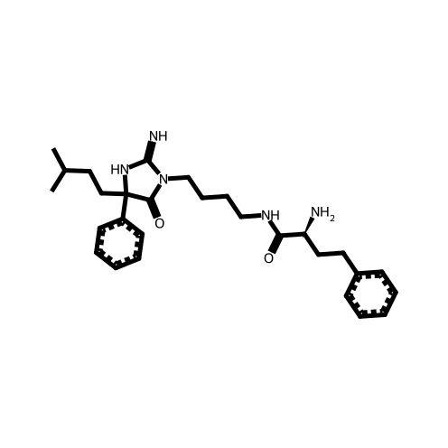 CC(C)CCC1(c2ccccc2)NC(=N)N(CCCCNC(=O)[C@@H](N)CCc2ccccc2)C1=O